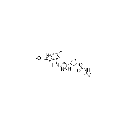 COCc1cc2c(Nc3cc(C4CCC(OC(=O)NC5(C)CC5)C4)[nH]n3)nc(F)cn2n1